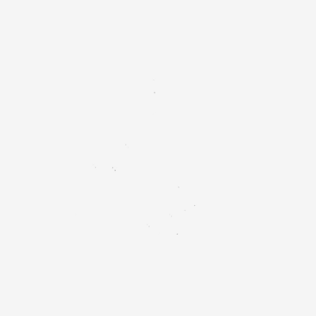 CCCC(O)(N[S@+]([O-])C(C)(C)C)c1cccc(-c2cc(OC)c3cnn(-c4cccc(CO[Si](C)(C)C(C)(C)C)n4)c3c2)n1